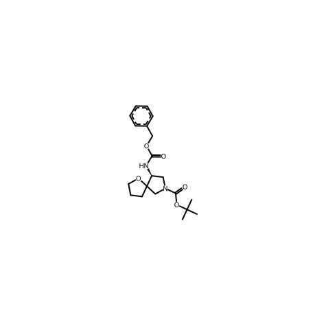 CC(C)(C)OC(=O)N1C[C@H](NC(=O)OCc2ccccc2)C2(CCCO2)C1